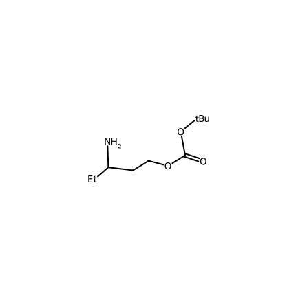 CCC(N)CCOC(=O)OC(C)(C)C